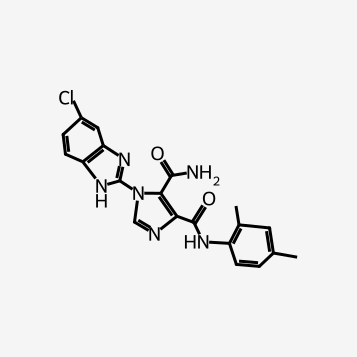 Cc1ccc(NC(=O)c2ncn(-c3nc4cc(Cl)ccc4[nH]3)c2C(N)=O)c(C)c1